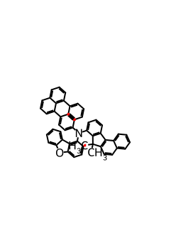 CC1(C)c2ccc3ccccc3c2-c2cccc(N(c3ccc(-c4cccc5cccc(-c6ccccc6)c45)cc3)c3cccc4oc5ccccc5c34)c21